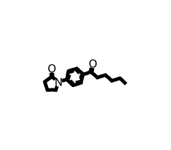 CCCCCC(=O)c1ccc(N2CCCC2=O)cc1